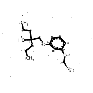 CCCC(O)(CCC)COc1cccc(OCN)c1